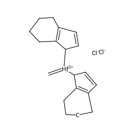 [CH2]=[Hf+2]([CH]1C=CC2=C1CCCC2)[CH]1C=CC2=C1CCCC2.[Cl-].[Cl-]